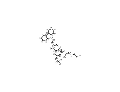 CCCCOC(=O)CNC(=O)[C@@H](CC(=O)OC(C)(C)C)NC(=O)OCC1c2ccccc2-c2ccccc21